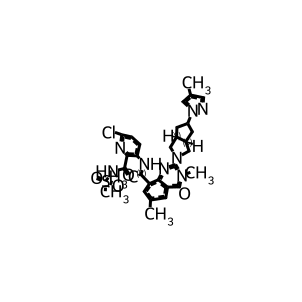 Cc1cc([C@@H](C)Nc2ccc(Cl)nc2C(=O)NS(C)(=O)=O)c2nc(N3C[C@H]4CC(n5cc(C)cn5)C[C@@H]4C3)n(C)c(=O)c2c1